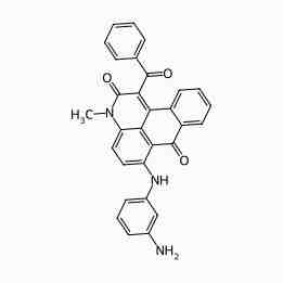 Cn1c(=O)c(C(=O)c2ccccc2)c2c3c(c(Nc4cccc(N)c4)ccc31)C(=O)c1ccccc1-2